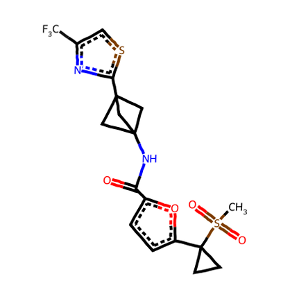 CS(=O)(=O)C1(c2ccc(C(=O)NC34CC(c5nc(C(F)(F)F)cs5)(C3)C4)o2)CC1